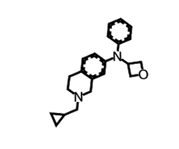 c1ccc(N(c2ccc3c(c2)CN(CC2CC2)CC3)C2COC2)cc1